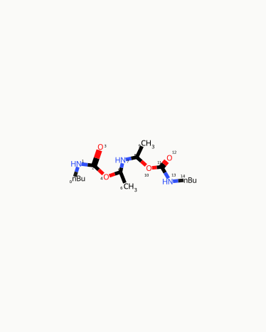 CCCCNC(=O)OC(C)NC(C)OC(=O)NCCCC